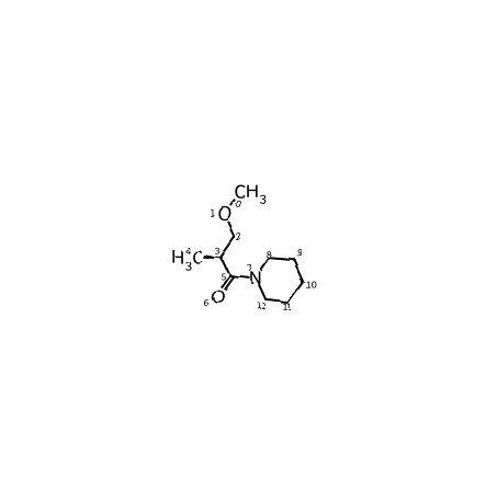 COC[C@H](C)C(=O)N1CCCCC1